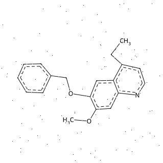 CCc1ccnc2cc(OC)c(OCc3ccccc3)cc12